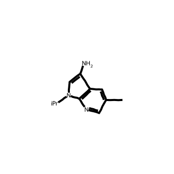 Cc1cnc2c(c1)c(N)cn2C(C)C